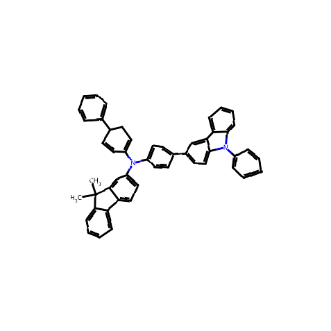 CC1(C)c2ccccc2-c2ccc(N(C3=CCC(c4ccccc4)C=C3)c3ccc(-c4ccc5c(c4)c4ccccc4n5-c4ccccc4)cc3)cc21